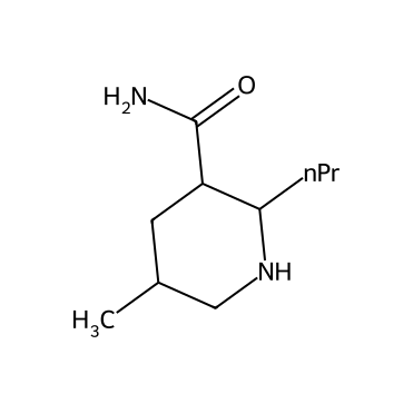 CCCC1NCC(C)CC1C(N)=O